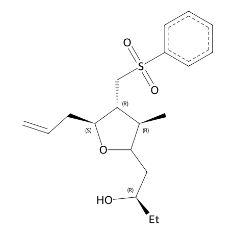 C=CC[C@@H]1OC(C[C@H](O)CC)[C@H](C)[C@H]1CS(=O)(=O)c1ccccc1